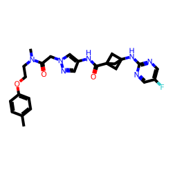 Cc1ccc(OCCN(C)C(=O)Cn2cc(NC(=O)C34CC(Nc5ncc(F)cn5)(C3)C4)cn2)cc1